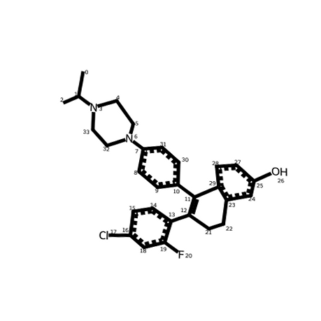 CC(C)N1CCN(c2ccc(C3=C(c4ccc(Cl)cc4F)CCc4cc(O)ccc43)cc2)CC1